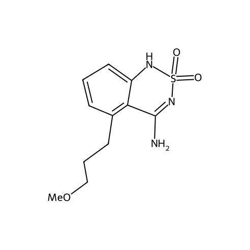 COCCCc1cccc2c1C(N)=NS(=O)(=O)N2